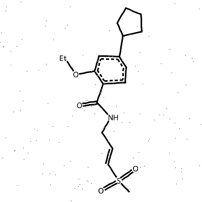 CCOc1cc(C2CCCC2)ccc1C(=O)NCC=CS(C)(=O)=O